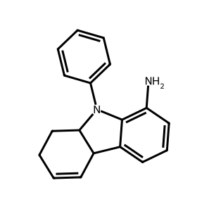 Nc1cccc2c1N(c1ccccc1)C1CCC=CC21